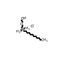 CCCCCCCCCCCC[N+](C)(C)CCOCCO.[Cl-]